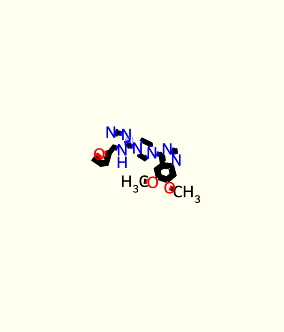 COc1cc2ncnc(N3CCN(/C(=N/C#N)NCc4ccco4)CC3)c2cc1OC